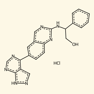 Cl.OCC(Nc1ncc2cc(-c3ncnc4[nH]ncc34)ccc2n1)c1ccccc1